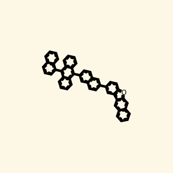 c1ccc2cc3c(cc2c1)oc1ccc(-c2ccc4cc(-c5c6ccccc6c(-c6cccc7ccccc67)c6ccccc56)ccc4c2)cc13